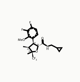 COc1c([C@H]2[C@H](C(=O)NCC3CC3)O[C@@](C)(C(F)(F)F)[C@H]2C)ccc(F)c1F